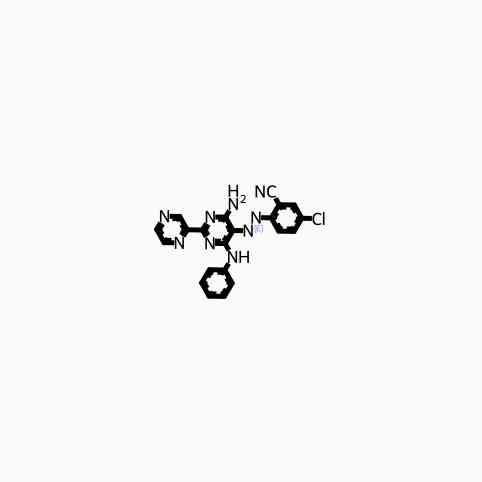 N#Cc1cc(Cl)ccc1/N=N/c1c(N)nc(-c2cnccn2)nc1Nc1ccccc1